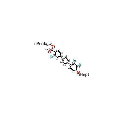 CCCCCCCOc1ccc(-c2ccc(-c3ccc(C4OCC(CCCCC)CO4)c(F)c3)cc2)c(F)c1F